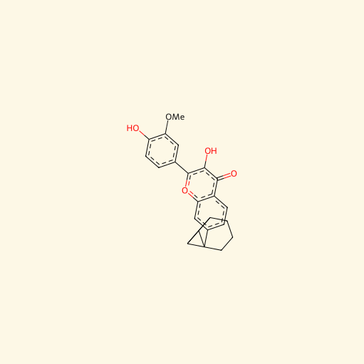 COc1cc(-c2oc3cc(C45CCCC6C4C65)ccc3c(=O)c2O)ccc1O